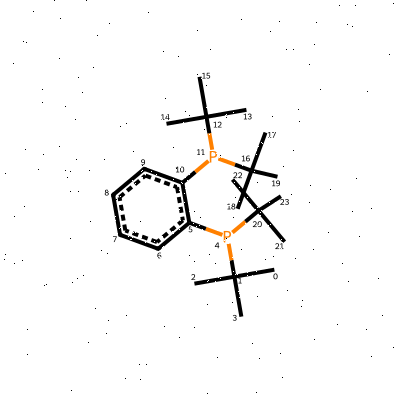 CC(C)(C)P(c1ccccc1P(C(C)(C)C)C(C)(C)C)C(C)(C)C